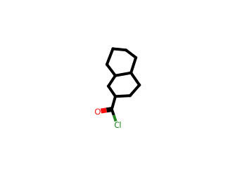 O=C(Cl)C1CCC2CCCCC2C1